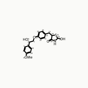 COc1ccc([C@H](O)COc2ccc(CC3SC(O)NC3=O)cc2)cc1